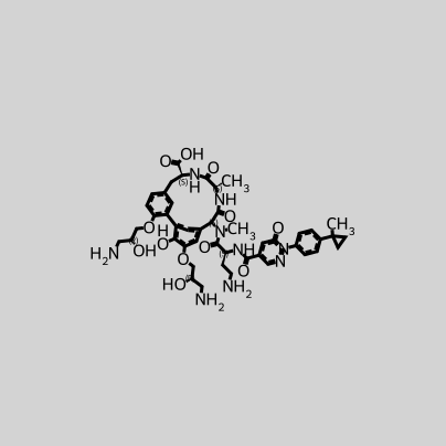 C[C@@H]1NC(=O)[C@@H](N(C)C(=O)[C@H](CCN)NC(=O)c2cnn(-c3ccc(C4(C)CC4)cc3)c(=O)c2)c2cc(OC[C@H](O)CN)c(O)c(c2)-c2cc(ccc2OC[C@H](O)CN)C[C@@H](C(=O)O)NC1=O